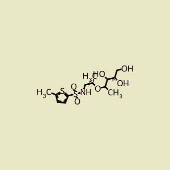 Cc1ccc(S(=O)(=O)NC[C@H](C)OC(C)C(O)[C@H](O)CO)s1